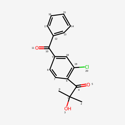 CC(C)(O)C(=O)c1ccc(C(=O)c2ccccc2)cc1Cl